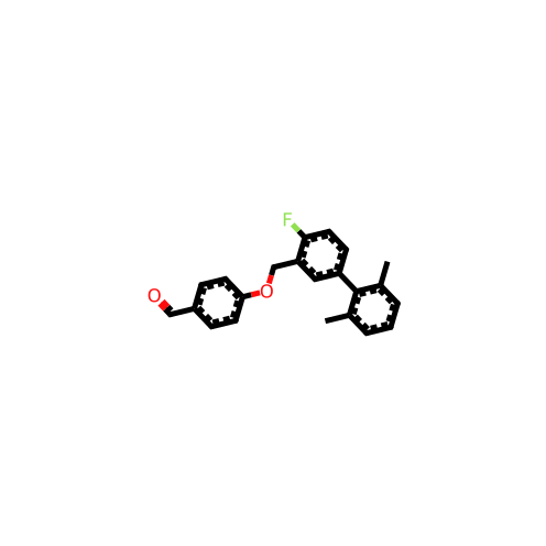 Cc1cccc(C)c1-c1ccc(F)c(COc2ccc(C=O)cc2)c1